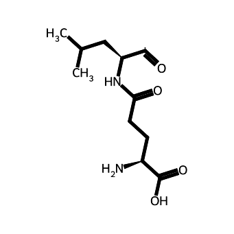 CC(C)C[C@@H]([C]=O)NC(=O)CC[C@H](N)C(=O)O